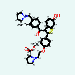 COc1cc(C(=O)c2c(-c3ccc(OCCN4CCC[C@H]4C(=O)OC(C)(C)C)cc3)sc3cc(O)ccc23)ccc1CN1CCCC1